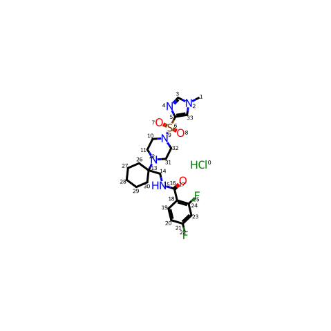 Cl.Cn1cnc(S(=O)(=O)N2CCN(C3(CNC(=O)c4ccc(F)cc4F)CCCCC3)CC2)c1